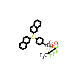 CC(C)(C)c1ccc([S+](c2ccc3ccccc3c2)c2ccc3ccccc3c2)cc1.O=S(=O)([O-])C(F)(F)C(F)(F)C(F)(F)C(F)(F)F